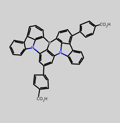 O=C(O)c1ccc(-c2cc3c4c(c2)-n2c5ccccc5c5c(-c6ccc(C(=O)O)cc6)ccc(c52)B4c2cccc4c5ccccc5n-3c24)cc1